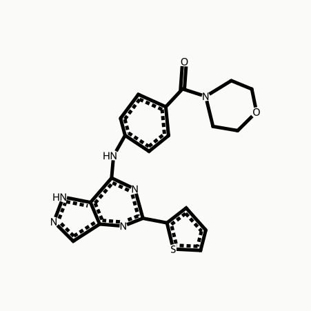 O=C(c1ccc(Nc2nc(-c3cccs3)nc3cn[nH]c23)cc1)N1CCOCC1